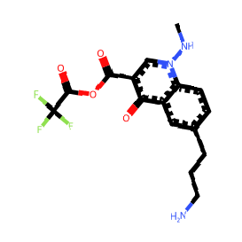 CNn1cc(C(=O)OC(=O)C(F)(F)F)c(=O)c2cc(CCCN)ccc21